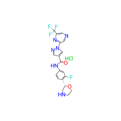 Cl.O=C(Nc1ccc([C@H]2CNCCO2)c(F)c1)c1cnn(-c2cncc(C(F)(F)F)n2)c1